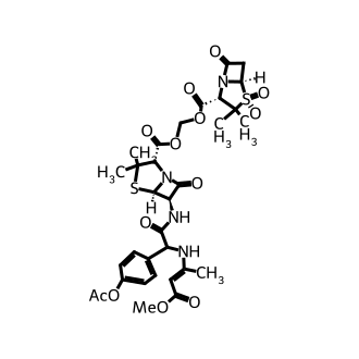 COC(=O)C=C(C)NC(C(=O)N[C@@H]1C(=O)N2[C@@H]1SC(C)(C)[C@@H]2C(=O)OCOC(=O)[C@@H]1N2C(=O)C[C@H]2S(=O)(=O)C1(C)C)c1ccc(OC(C)=O)cc1